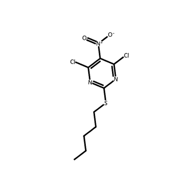 CCCCCSc1nc(Cl)c([N+](=O)[O-])c(Cl)n1